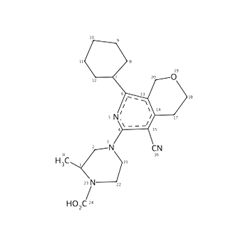 CC1CN(c2nc(C3CCCCC3)c3c(c2C#N)CCOC3)CCN1C(=O)O